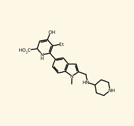 CCC1=C(c2ccc3c(c2)cc(CNC2CCNCC2)n3C)NC(C(=O)O)C=C1O